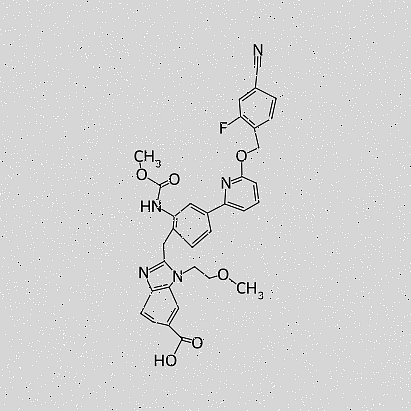 COCCn1c(Cc2ccc(-c3cccc(OCc4ccc(C#N)cc4F)n3)cc2NC(=O)OC)nc2ccc(C(=O)O)cc21